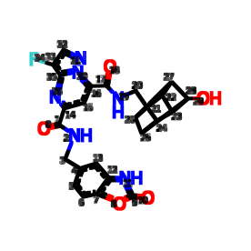 O=C(NCc1ccc2oc(=O)[nH]c2c1)c1cc(C(=O)NCC23C4C5C2C2C3C4C52O)n2ncc(F)c2n1